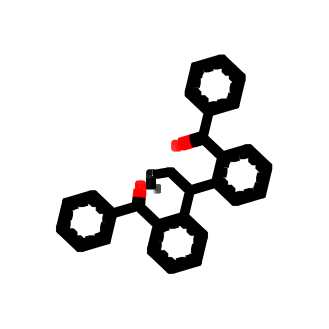 CCC(c1ccccc1C(=O)c1ccccc1)c1ccccc1C(=O)c1ccccc1